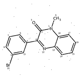 Cn1c(=O)c(-c2cccc(Br)c2)nc2ccccc21